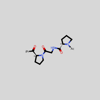 CC(=O)N1CCC[C@H]1C(=O)NCC(=O)N1CCC[C@H]1C(=O)C(C)C